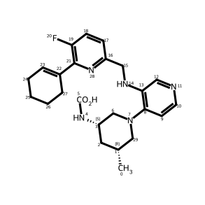 C[C@@H]1C[C@H](NC(=O)O)CN(c2ccncc2NCc2ccc(F)c(C3=CCCCC3)n2)C1